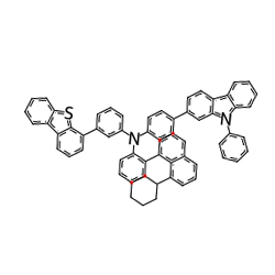 c1ccc(-n2c3ccccc3c3ccc(-c4ccc(N(c5cccc(-c6cccc7c6sc6ccccc67)c5)c5ccccc5-c5cccc6cccc(C7CCCCC7)c56)cc4)cc32)cc1